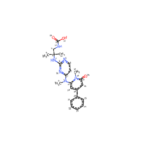 CN(c1ccnc(NC(C)(C)CNC(=O)O)n1)c1cc(-c2ccccc2)cc(=O)n1C